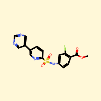 COC(=O)c1ccc(NS(=O)(=O)c2ccc(-c3cncnc3)cn2)cc1F